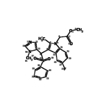 COC(=O)Cn1c(C)c(C(c2cncn2C)S(=O)(=O)c2ccccc2)c2cc(F)ccc21